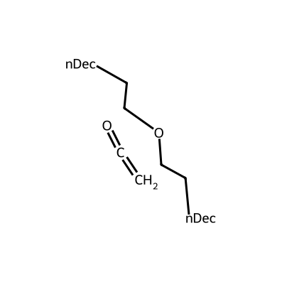 C=C=O.CCCCCCCCCCCCOCCCCCCCCCCCC